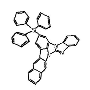 c1ccc([Si](c2ccccc2)(c2ccccc2)c2cc3c4cc5ccccc5cc4n4c3c(c2)n2c3ccccc3nc24)cc1